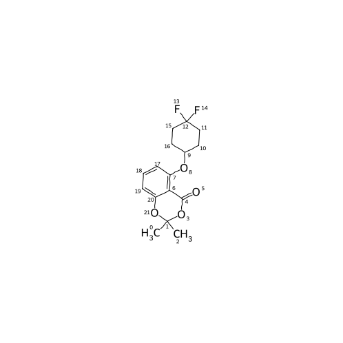 CC1(C)OC(=O)c2c(OC3CCC(F)(F)CC3)cccc2O1